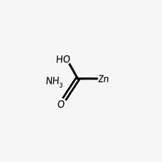 N.O=[C](O)[Zn]